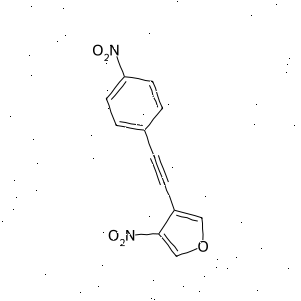 O=[N+]([O-])c1ccc(C#Cc2cocc2[N+](=O)[O-])cc1